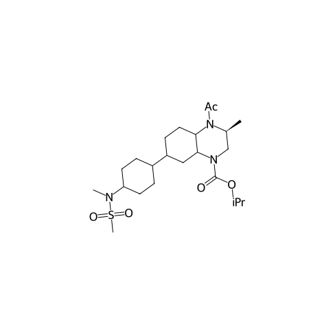 CC(=O)N1C2CCC(C3CCC(N(C)S(C)(=O)=O)CC3)CC2N(C(=O)OC(C)C)C[C@@H]1C